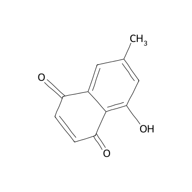 Cc1cc(O)c2c(c1)C(=O)C=CC2=O